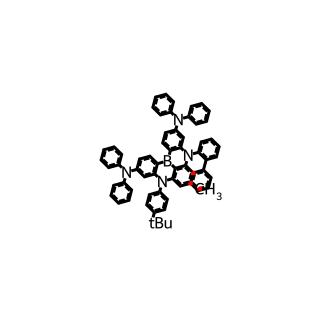 Cc1cc2c3c(c1)N(c1ccccc1-c1ccccc1)c1cc(N(c4ccccc4)c4ccccc4)ccc1B3c1ccc(N(c3ccccc3)c3ccccc3)cc1N2c1ccc(C(C)(C)C)cc1